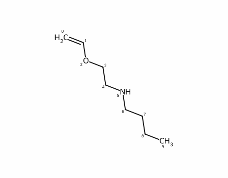 C=COCCNCCCC